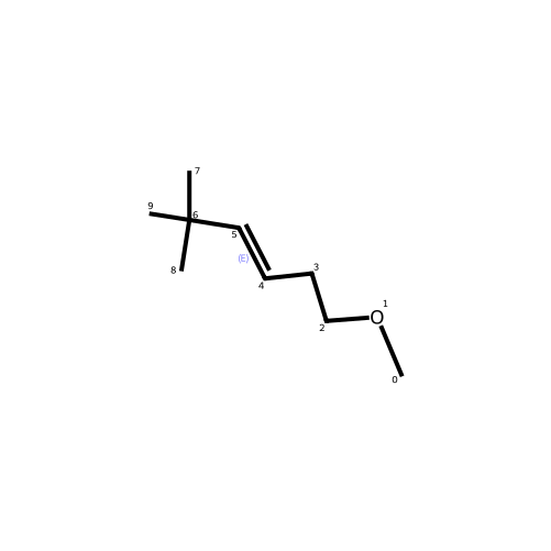 COCC/C=C/C(C)(C)C